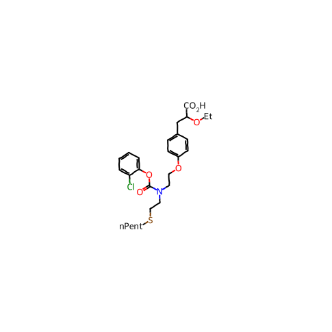 CCCCCSCCN(CCOc1ccc(CC(OCC)C(=O)O)cc1)C(=O)Oc1ccccc1Cl